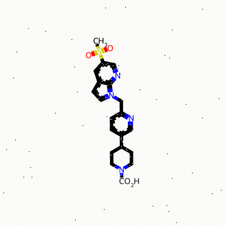 CS(=O)(=O)c1cnc2c(ccn2Cc2ccc(C3CCN(C(=O)O)CC3)cn2)c1